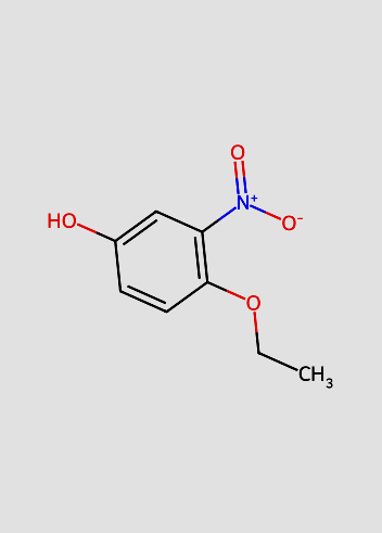 CCOc1ccc(O)cc1[N+](=O)[O-]